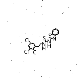 S=C(NCCc1cc(Cl)cc(Cl)c1Cl)Nc1nc2ccccc2s1